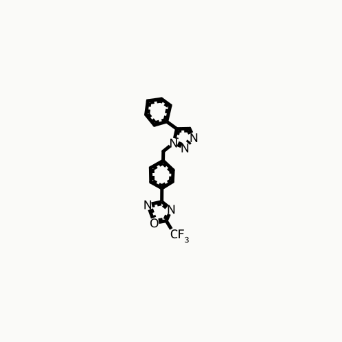 FC(F)(F)c1nc(-c2ccc(Cn3nncc3-c3ccccc3)cc2)no1